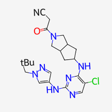 CC(C)(C)Cn1cc(Nc2ncc(Cl)c(NC3CC4CN(C(=O)CC#N)CC4C3)n2)cn1